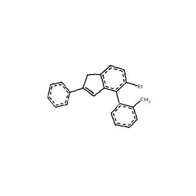 CCc1ccc2c(c1-c1ccccc1C)C=C(c1ccccc1)[CH]2